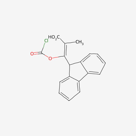 CC(C(=O)O)=C(OC(=O)Cl)C1c2ccccc2-c2ccccc21